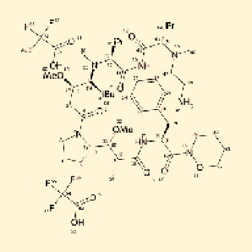 CC[C@H](C)[C@@H]([C@@H](CC(=O)N1CCC[C@H]1[C@H](OC)[C@@H](C)C(=O)N[C@@H](Cc1ccccc1)C(=O)N1CCCCO1)OC)N(C)[C@H](C(=O)NC(=O)[C@H](C(C)C)N(C)CCN)C(C)C.O=C(O)C(F)(F)F.O=C(O)C(F)(F)F